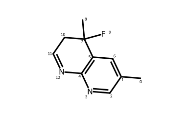 Cc1cnc2c(c1)C(C)(F)CC=N2